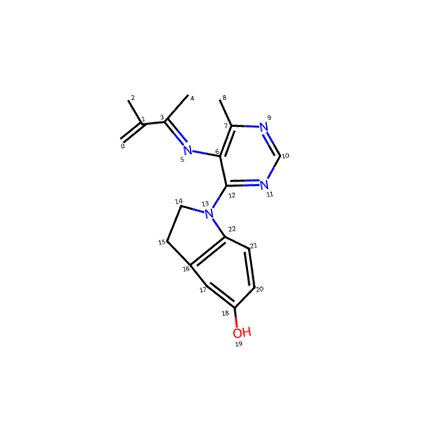 C=C(C)/C(C)=N/c1c(C)ncnc1N1CCc2cc(O)ccc21